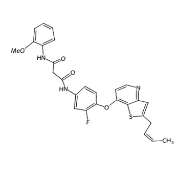 C/C=C\Cc1cc2nccc(Oc3ccc(NC(=O)CC(=O)Nc4ccccc4OC)cc3F)c2s1